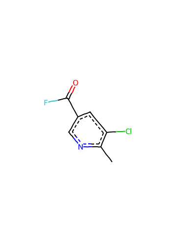 Cc1ncc(C(=O)F)cc1Cl